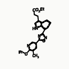 CCOC(=O)CCc1c[nH]c2c(-c3noc(-c4cnc(OC(C)C)c(C)c4)n3)cccc12